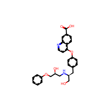 O=C(O)c1ccc2c(Oc3ccc(C[C@@H](CO)NC[C@H](O)COc4ccccc4)cc3)ccnc2c1